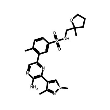 Cc1ccc(S(=O)(=O)NCC2(C)CCCO2)cc1-c1cnc(N)c(-c2cn(C)nc2C)n1